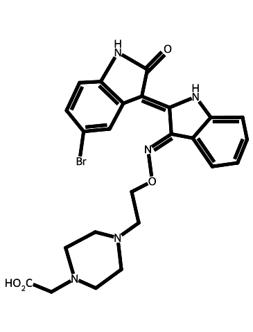 O=C(O)CN1CCN(CCO/N=C2/C(=C3/C(=O)Nc4ccc(Br)cc43)Nc3ccccc32)CC1